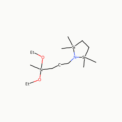 CCO[Si](C)(CCCN1[Si](C)(C)CC[Si]1(C)C)OCC